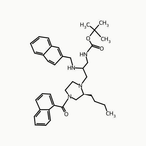 CCCC[C@H]1CN(C(=O)c2cccc3ccccc23)CCN1CC(CNC(=O)OC(C)(C)C)NCc1ccc2ccccc2c1